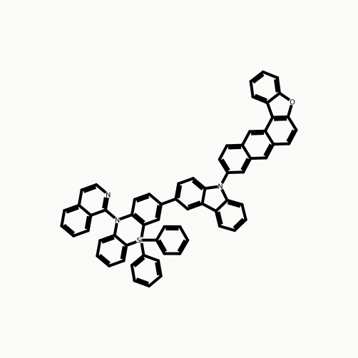 c1ccc([Si]2(c3ccccc3)c3ccccc3N(c3nccc4ccccc34)c3ccc(-c4ccc5c(c4)c4ccccc4n5-c4ccc5cc6c(ccc7oc8ccccc8c76)cc5c4)cc32)cc1